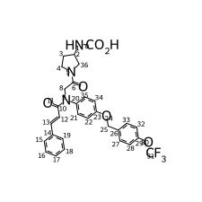 O=C(O)NC1CCN(C(=O)CN(C(=O)/C=C/c2ccccc2)c2ccc(OCc3ccc(OC(F)(F)F)cc3)cc2)C1